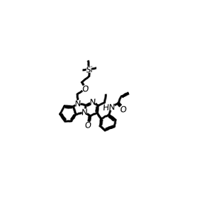 C=CC(=O)Nc1ccccc1-c1c(CC)nc2n(COCC[Si](C)(C)C)c3ccccc3n2c1=O